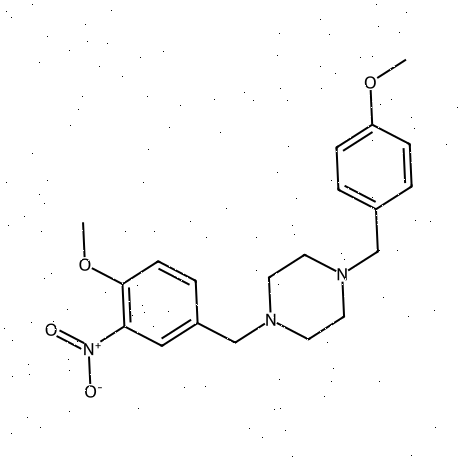 COc1ccc(CN2CCN(Cc3ccc(OC)c([N+](=O)[O-])c3)CC2)cc1